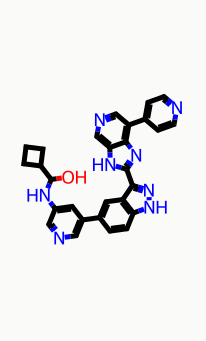 OC(Nc1cncc(-c2ccc3[nH]nc(-c4nc5c(-c6ccncc6)cncc5[nH]4)c3c2)c1)C1CCC1